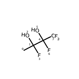 CC(O)(F)C(O)(F)C(F)(F)F